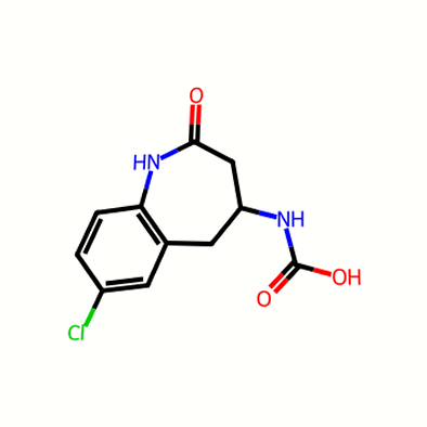 O=C(O)NC1CC(=O)Nc2ccc(Cl)cc2C1